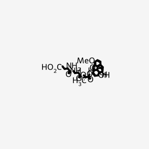 COc1ccc2c3c1O[C@H]1C(OC(=O)[C@H](C)OC(=O)CCNC(=O)[C@@H](N)CCC(=O)O)=CC[C@@]4(O)[C@H](CCC[C@]314)C2